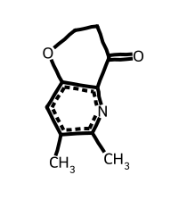 Cc1cc2c(nc1C)C(=O)CCO2